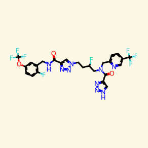 O=C(NCc1cc(OC(F)(F)F)ccc1F)c1cn(CCC(F)CN(Cc2ccc(C(F)(F)F)cn2)C(=O)c2c[nH]nn2)nn1